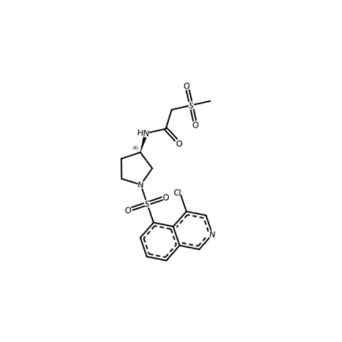 CS(=O)(=O)CC(=O)N[C@@H]1CCN(S(=O)(=O)c2cccc3cncc(Cl)c23)C1